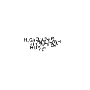 COC(=O)c1c(O)c2ccccc2n(Cc2ccc(C3OCCNC3=O)cc2)c1=O